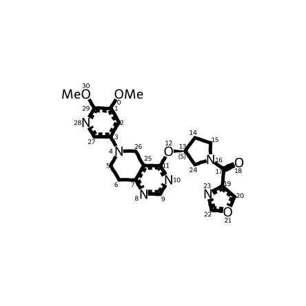 COc1cc(N2CCc3ncnc(O[C@H]4CCN(C(=O)c5cocn5)C4)c3C2)cnc1OC